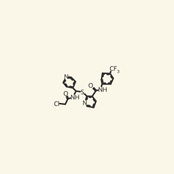 O=C(CCl)NC(Sc1ncccc1C(=O)Nc1ccc(C(F)(F)F)cc1)c1ccncc1